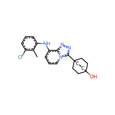 Cc1c(Cl)cccc1Nc1cccn2c(C34CCC(O)(CC3)CC4)nnc12